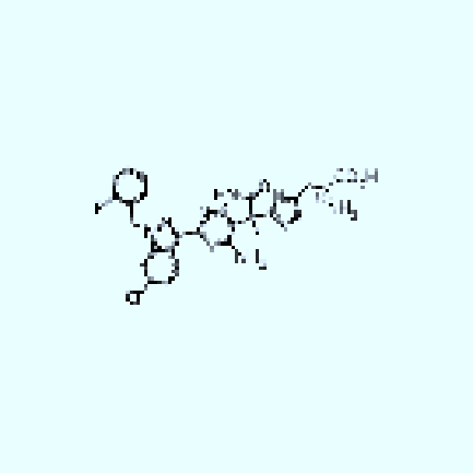 CC1(c2nc(C[C@@H](N)C(=O)O)cs2)C(=O)Nc2nc(-c3nn(Cc4ccccc4F)c4cc(Cl)ccc34)nc(N)c21